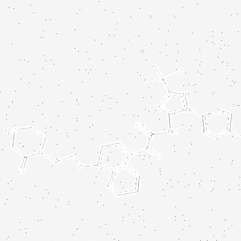 Cc1ccc(-n2nc(C(C)(C)C)cc2NC(=O)C(=O)c2ccc(OCCN3CC[SH2]CC3=O)c3ccccc23)cc1